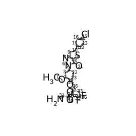 COc1cc(-n2cnc3cc(-c4ccc(Cl)cc4)sc3c2=O)ccc1OCC1(OC(=O)CN)CC(F)(F)C1